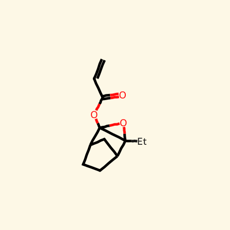 C=CC(=O)OC12OC1(CC)C1CCC2C1